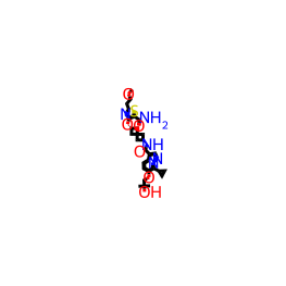 COCCc1nc(O[C@H]2CC3(C[C@H](NC(=O)c4cnn5c(C6CC6)c(OCC(C)(C)O)ccc45)C3)C2)c(C(N)=O)s1